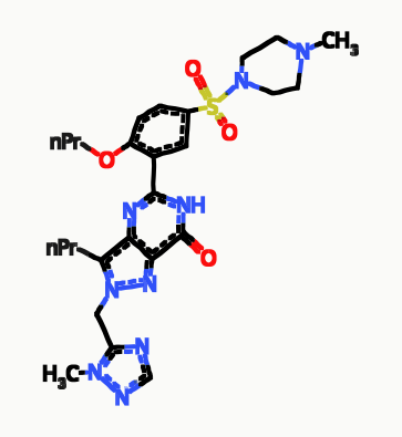 CCCOc1ccc(S(=O)(=O)N2CCN(C)CC2)cc1-c1nc2c(CCC)n(Cc3ncnn3C)nc2c(=O)[nH]1